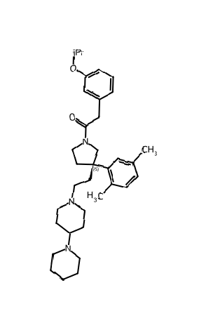 Cc1ccc(C)c([C@]2(CCN3CCC(N4CCCCC4)CC3)CCN(C(=O)Cc3cccc(OC(C)C)c3)C2)c1